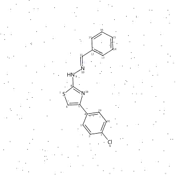 Clc1ccc(-c2csc(N/N=C/c3ccccc3)n2)cc1